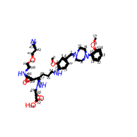 COc1cc(CN2CCN(c3ccccc3OC)CC2)ccc1NCCCC(NCC1OC1O)C1OC1NCCOCCC#N